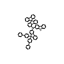 c1ccc(-c2ccc(C3(c4ccc(-c5ccccc5)cc4)c4ccccc4-c4cc(N(c5ccc6c(c5)sc5ccccc56)c5cccc6c5-c5ccccc5C65c6ccccc6-c6ccccc65)ccc43)cc2)cc1